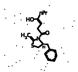 C=C1SC[C@H](Cc2ccccc2)N1C(=O)CC=C(O)CCC